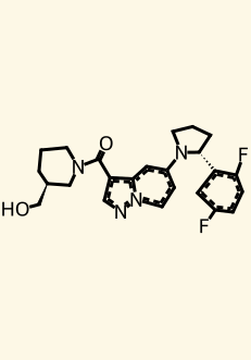 O=C(c1cnn2ccc(N3CCC[C@@H]3c3cc(F)ccc3F)cc12)N1CCC[C@H](CO)C1